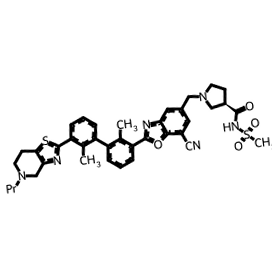 Cc1c(-c2nc3cc(CN4CC[C@@H](C(=O)NS(C)(=O)=O)C4)cc(C#N)c3o2)cccc1-c1cccc(-c2nc3c(s2)CCN(C(C)C)C3)c1C